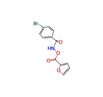 O=C(NOC(=O)c1ccco1)c1ccc(Br)cc1